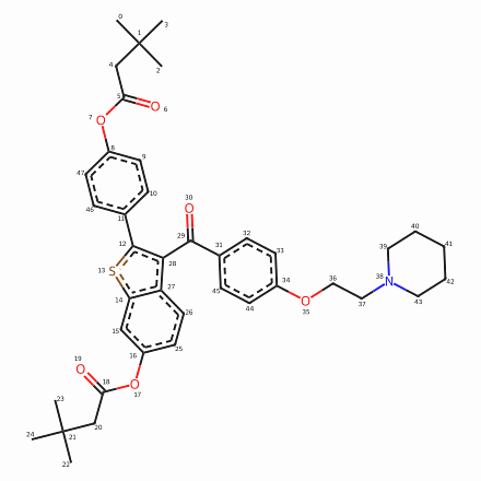 CC(C)(C)CC(=O)Oc1ccc(-c2sc3cc(OC(=O)CC(C)(C)C)ccc3c2C(=O)c2ccc(OCCN3CCCCC3)cc2)cc1